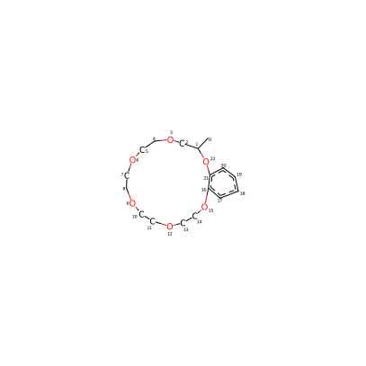 CC1COCCOCCOCCOCCOc2ccccc2O1